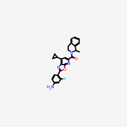 CC1c2ccccc2CCN1C(=O)c1cc(C2CC2)c2nc(-c3ccc(N)cc3F)oc2n1